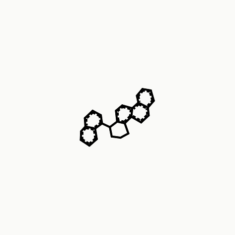 c1ccc2c(C3CCCc4c3ccc3c4ccc4ccccc43)cccc2c1